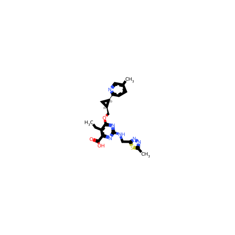 CCc1c(OC[C@H]2C[C@@H]2c2ccc(C)cn2)nc(NCc2nnc(C)s2)nc1C(=O)O